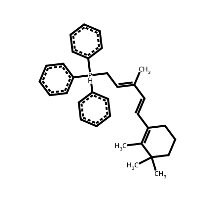 CC(C=CC1=C(C)C(C)(C)CCC1)=CC[PH](c1ccccc1)(c1ccccc1)c1ccccc1